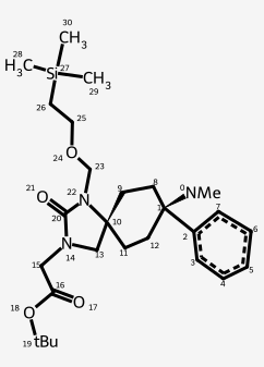 CN[C@]1(c2ccccc2)CC[C@@]2(CC1)CN(CC(=O)OC(C)(C)C)C(=O)N2COCC[Si](C)(C)C